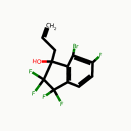 C=CCC1(O)c2c(ccc(F)c2Br)C(F)(F)C1(F)F